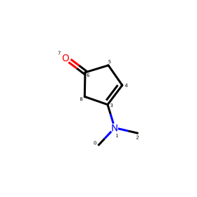 CN(C)C1=CCC(=O)C1